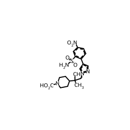 CC(C)(Cn1cc(-c2ccc([N+](=O)[O-])cc2S(N)(=O)=O)cn1)C1CCN(C(=O)O)CC1